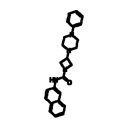 O=C(Nc1ccc2ccccc2c1)N1CC(N2CCN(c3ccccc3)CC2)C1